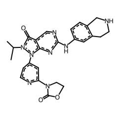 CC(C)n1c(=O)c2cnc(Nc3ccc4c(c3)CCNC4)nc2n1-c1ccnc(N2CCOC2=O)c1